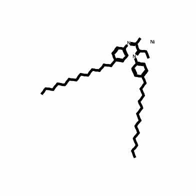 CCCCCCCCCCCCCc1ccc(N=C(C)C(CC)=Nc2ccc(CCCCCCCCCCCCC)cc2)cc1.[Ni]